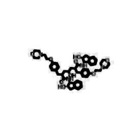 O=C(N[C@H]1c2ccccc2C[C@@H]1O)C(Cc1ccc(OCCN2CCOCC2)cc1)CC(O)CC(Cc1ccc(OCCN2CCOCC2)cc1)C(=O)N[C@H]1c2ccccc2C[C@@H]1O